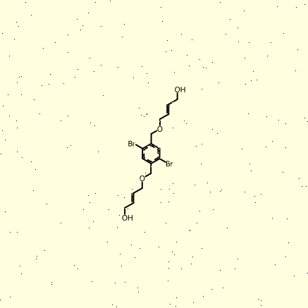 OCC=CCOCc1cc(Br)c(COCC=CCO)cc1Br